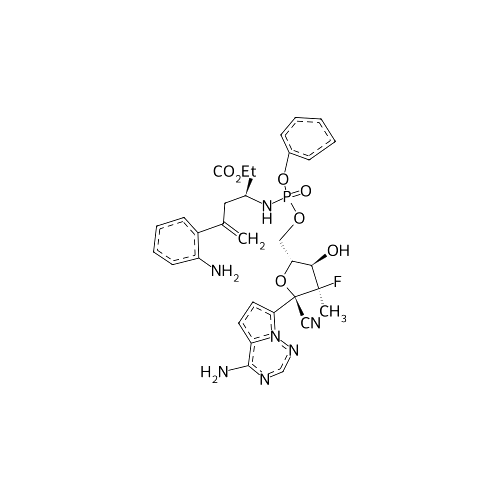 C=C(C[C@H](NP(=O)(OC[C@H]1O[C@@](C#N)(c2ccc3c(N)ncnn23)[C@](C)(F)[C@@H]1O)Oc1ccccc1)C(=O)OCC)c1ccccc1N